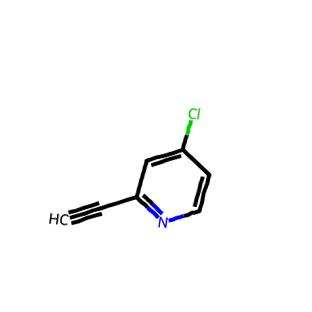 C#Cc1cc(Cl)ccn1